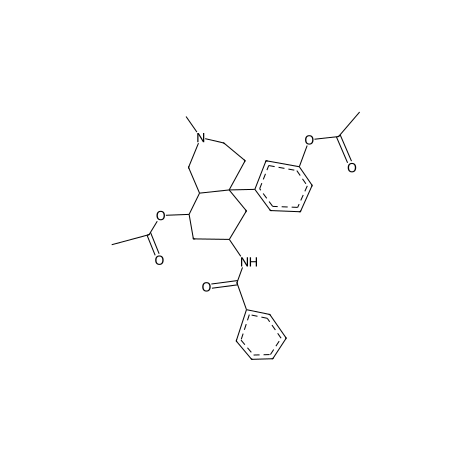 CC(=O)Oc1cccc(C23CCN(C)CC2C(OC(C)=O)CC(NC(=O)c2ccccc2)C3)c1